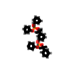 CC(C)(OP(Oc1ccccc1)Oc1cccc(C(C)(C)OP(Oc2ccccc2)Oc2ccccc2)c1)c1ccccc1